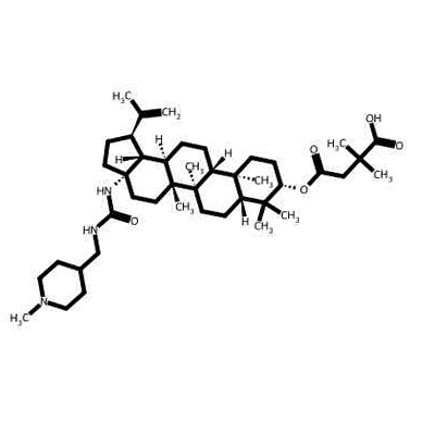 C=C(C)[C@@H]1CC[C@]2(NC(=O)NCC3CCN(C)CC3)CC[C@]3(C)[C@H](CC[C@@H]4[C@@]5(C)CC[C@H](OC(=O)CC(C)(C)C(=O)O)C(C)(C)[C@@H]5CC[C@]43C)[C@@H]12